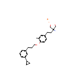 NC(CO)(CCc1ccc(OCCCc2cccc(C3CC3)c2)c(C(F)(F)F)c1)COP=O